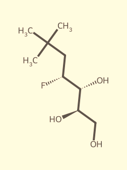 CC(C)(C)C[C@@H](F)[C@H](O)[C@H](O)CO